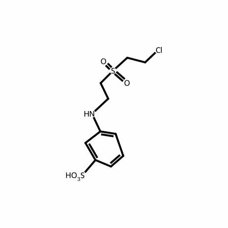 O=S(=O)(CCCl)CCNc1cccc(S(=O)(=O)O)c1